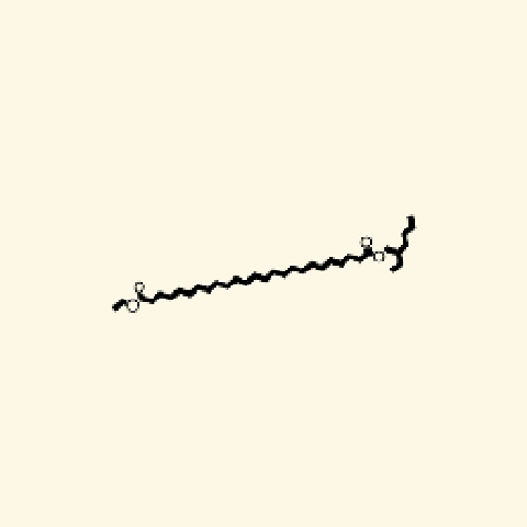 CCCCC(CC)COC(=O)CCCCCCCCCCCCCCCCCCCCCCCC(=O)OCC